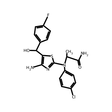 CC(C(N)=O)N(c1ccc(Cl)cc1)c1nc(N)c(C(O)c2ccc(F)cc2)s1